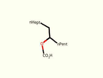 CCCCCCCCC(CCCCC)OC(=O)O